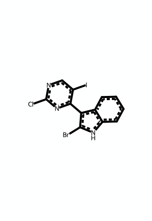 Clc1ncc(I)c(-c2c(Br)[nH]c3ccccc23)n1